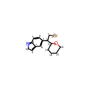 BrCC(c1ccc2c(c1)=CCN=2)C1CCCCO1